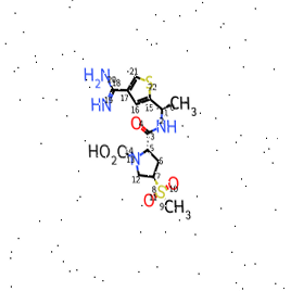 C[C@@H](NC(=O)[C@@H]1C[C@@H](S(C)(=O)=O)CN1C(=O)O)c1cc(C(=N)N)cs1